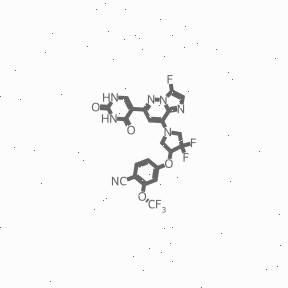 N#Cc1ccc(OC2CN(c3cc(-c4c[nH]c(=O)[nH]c4=O)nn4c(F)cnc34)CC2(F)F)cc1OC(F)(F)F